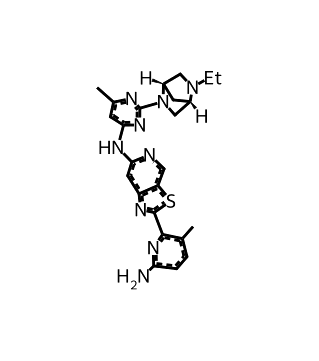 CCN1C[C@@H]2C[C@H]1CN2c1nc(C)cc(Nc2cc3nc(-c4nc(N)ccc4C)sc3cn2)n1